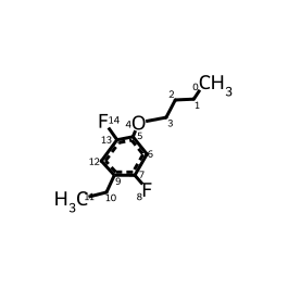 CCCCOc1cc(F)c(CC)cc1F